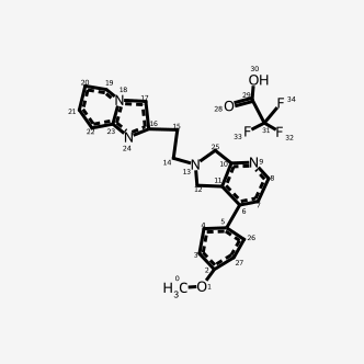 COc1ccc(-c2ccnc3c2CN(CCc2cn4ccccc4n2)C3)cc1.O=C(O)C(F)(F)F